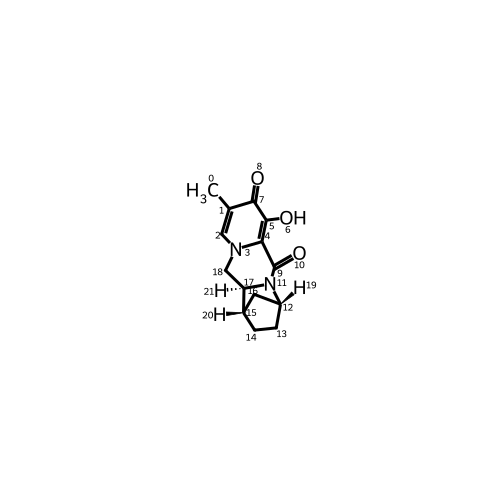 Cc1cn2c(c(O)c1=O)C(=O)N1[C@@H]3CC[C@@H](C3)[C@H]1C2